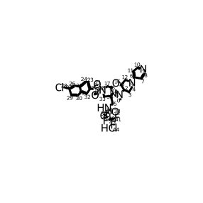 CN(C1CCN(c2ccncc2)CC1)N1C(=O)CN(S(=O)(=O)c2ccc3cc(Cl)ccc3c2)CC1CNS(=O)(=O)C(F)(F)F.Cl